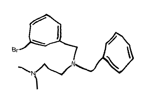 CN(C)CCN(Cc1ccccc1)Cc1cccc(Br)c1